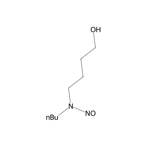 CCCCN(CCCCO)N=O